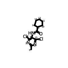 Cc1nc(Cl)c(NC(=O)C2CCCCC2)c(Cl)n1